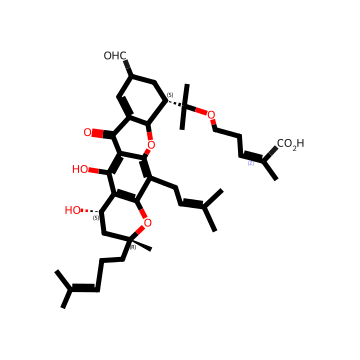 CC(C)=CCC[C@]1(C)C[C@H](O)c2c(O)c3c(c(CC=C(C)C)c2O1)OC1C(=CC(C=O)C[C@@H]1C(C)(C)OCC/C=C(/C)C(=O)O)C3=O